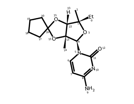 CC[C@@]1(C)O[C@@H](n2ccc(N)nc2=O)[C@]2(C)OC3(CCCC3)O[C@@H]21